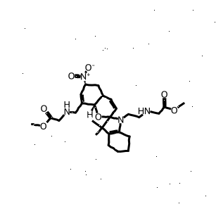 COC(=O)CNCCN1C2=C(CCCC2)C(C)(C)C12C=CC1C[C@@H]([N+](=O)[O-])C=C(CNCC(=O)OC)[C@H]1O2